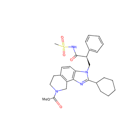 COC(=O)N1CCc2ccc3c(nc(C4CCCCC4)n3C[C@@H](C(=O)NS(C)(=O)=O)c3ccccc3)c2C1